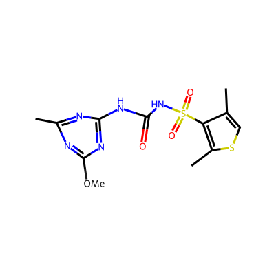 COc1nc(C)nc(NC(=O)NS(=O)(=O)c2c(C)csc2C)n1